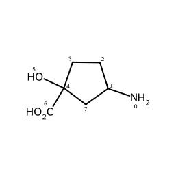 NC1CCC(O)(C(=O)O)C1